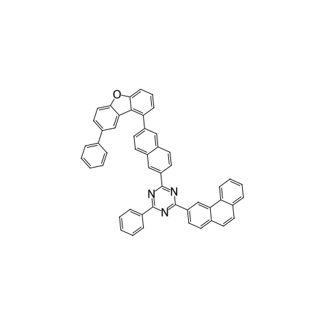 c1ccc(-c2ccc3oc4cccc(-c5ccc6cc(-c7nc(-c8ccccc8)nc(-c8ccc9ccc%10ccccc%10c9c8)n7)ccc6c5)c4c3c2)cc1